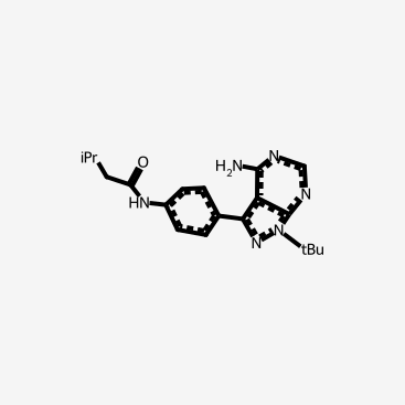 CC(C)CC(=O)Nc1ccc(-c2nn(C(C)(C)C)c3ncnc(N)c23)cc1